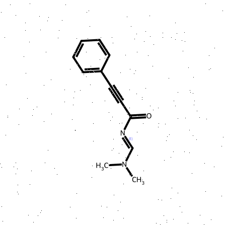 CN(C)/C=N/C(=O)C#Cc1ccccc1